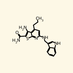 CCCc1cc(NCc2c[nH]c3ccccc23)nc2sc(C(N)=O)c(N)c12